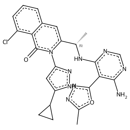 Cc1nnc(-c2c(N)ncnc2N[C@@H](C)c2cc3cccc(Cl)c3c(=O)n2-c2cc(C3CC3)[nH]n2)o1